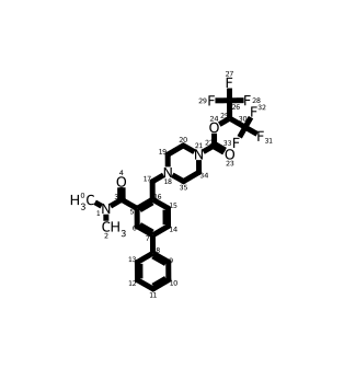 CN(C)C(=O)c1cc(-c2ccccc2)ccc1CN1CCN(C(=O)OC(C(F)(F)F)C(F)(F)F)CC1